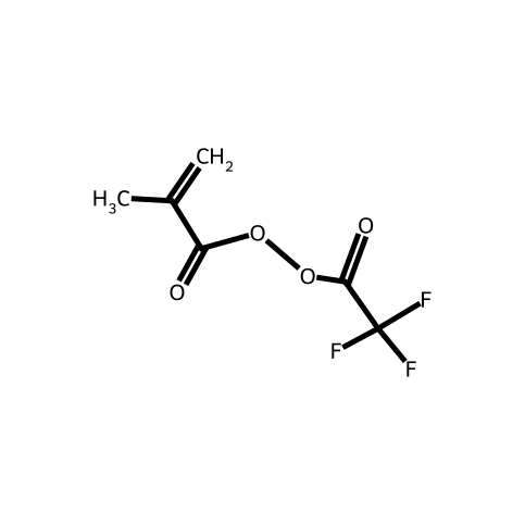 C=C(C)C(=O)OOC(=O)C(F)(F)F